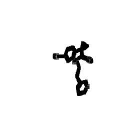 O=C(NCCc1cccnc1)C1(c2ccc(Cl)cc2)CC1